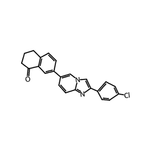 O=C1CCCc2ccc(-c3ccc4nc(-c5ccc(Cl)cc5)cn4c3)cc21